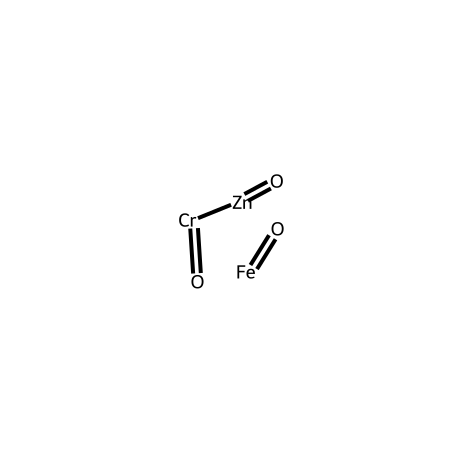 [O]=[Cr][Zn]=[O].[O]=[Fe]